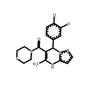 CC1=C(C(=O)N2CCSCC2)C(c2ccc(Cl)c(Cl)c2)n2nccc2N1